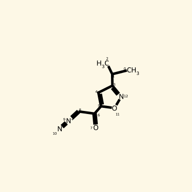 CC(C)c1cc(C(=O)C=[N+]=[N-])on1